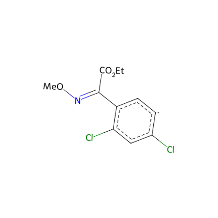 CCOC(=O)C(=NOC)c1c[c]c(Cl)cc1Cl